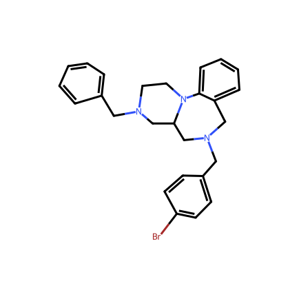 Brc1ccc(CN2Cc3ccccc3N3CCN(Cc4ccccc4)CC3C2)cc1